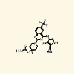 CC1(OC(N)=O)CCN(c2nc(Nc3n[nH]c(C4CC4)c3F)c3cc(C(F)(F)F)ccc3n2)CC1